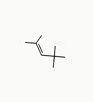 CCCC(C)(/C=C(\C)C(C)=O)OC